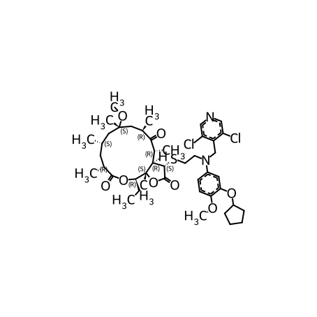 CC[C@H]1OC(=O)[C@H](C)C[C@H](C)C[C@](C)(OC)C[C@@H](C)C(=O)[C@H](C)[C@H]2[C@H](SCCN(Cc3c(Cl)cncc3Cl)c3ccc(OC)c(OC4CCCC4)c3)C(=O)O[C@@]21C